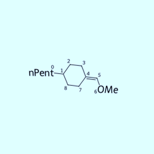 CCCCCC1CCC(=COC)CC1